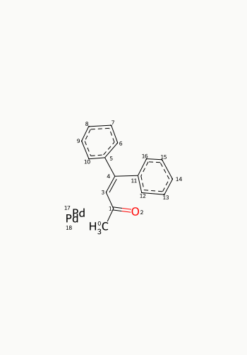 CC(=O)C=C(c1ccccc1)c1ccccc1.[Pd].[Pd]